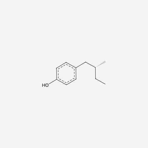 CC[C@@H](C)Cc1ccc(O)cc1